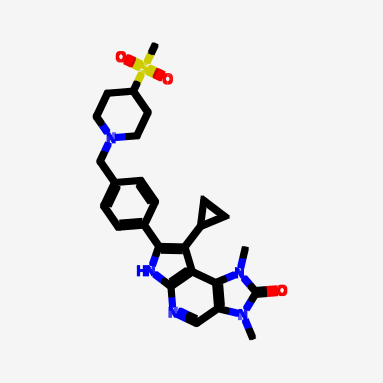 Cn1c(=O)n(C)c2c3c(C4CC4)c(-c4ccc(CN5CCC(S(C)(=O)=O)CC5)cc4)[nH]c3ncc21